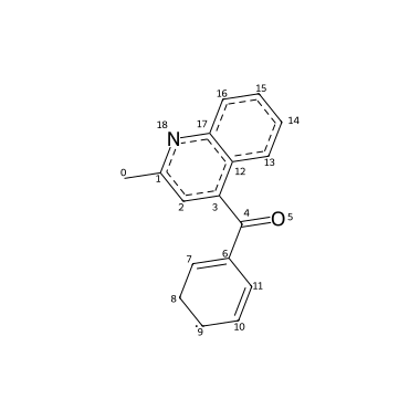 Cc1cc(C(=O)C2=CC[CH]C=C2)c2ccccc2n1